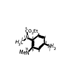 CCOC(=O)N(C)c1ccc(N)cc1NC